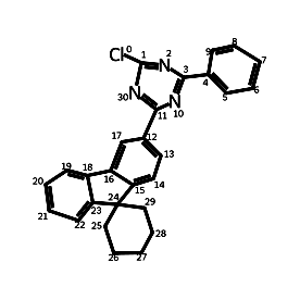 Clc1nc(-c2ccccc2)nc(-c2ccc3c(c2)-c2ccccc2C32CCCCC2)n1